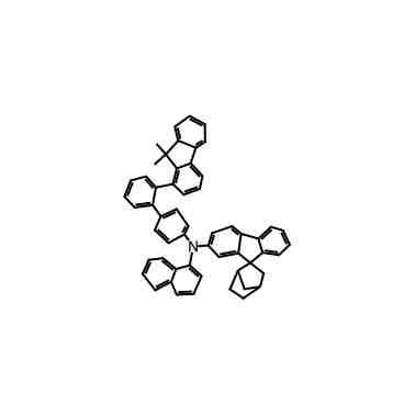 CC1(C)c2ccccc2-c2cccc(-c3ccccc3-c3ccc(N(c4ccc5c(c4)C4(CC6CCC4C6)c4ccccc4-5)c4cccc5ccccc45)cc3)c21